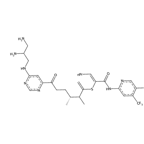 C=C(S/C(=C\CCC)C(=O)Nc1cc(C(F)(F)F)c(O)cn1)C(C)[C@H](C)CCC(=O)c1cc(NCC(N)CN)ncn1